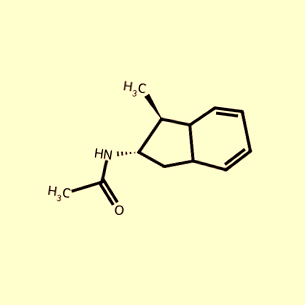 CC(=O)N[C@H]1CC2C=CC=CC2[C@@H]1C